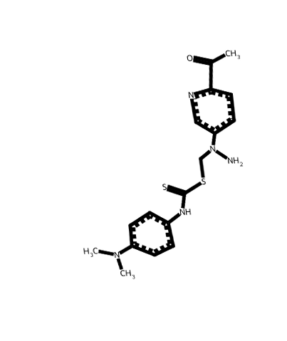 CC(=O)c1ccc(N(N)CSC(=S)Nc2ccc(N(C)C)cc2)cn1